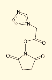 O=C(Cn1ccnc1)ON1C(=O)CCC1=O